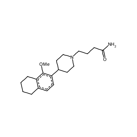 COc1c(C2CCN(CCCC(N)=O)CC2)ccc2c1CCCC2